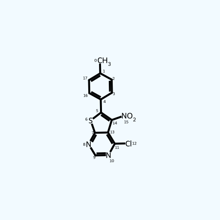 Cc1ccc(-c2sc3ncnc(Cl)c3c2[N+](=O)[O-])cc1